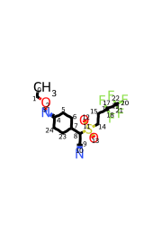 CCON=C1CCC(C(C#N)S(=O)(=O)CCC(F)(F)C(F)(F)F)CC1